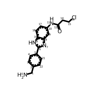 NCc1ccc(-c2nc3cc(NC(=O)CCCl)ccc3[nH]2)cc1